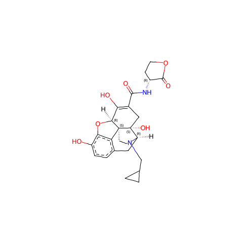 O=C(N[C@@H]1CCOC1=O)C1=C(O)[C@@H]2Oc3c(O)ccc4c3[C@@]23CCN(CC2CC2)[C@H](C4)[C@]3(O)C1